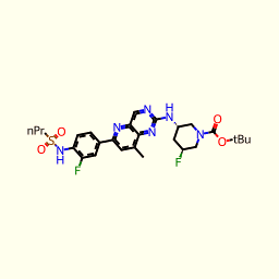 CCCS(=O)(=O)Nc1ccc(-c2cc(C)c3nc(N[C@H]4C[C@H](F)CN(C(=O)OC(C)(C)C)C4)ncc3n2)cc1F